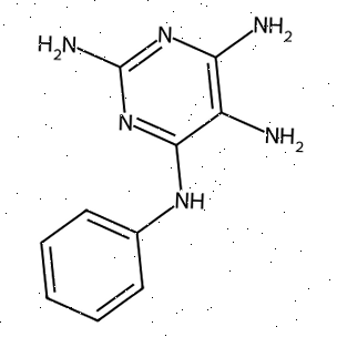 Nc1nc(N)c(N)c(Nc2ccccc2)n1